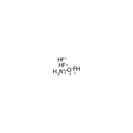 F.F.F.[NH3+][O-]